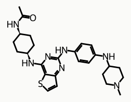 CC(=O)N[C@H]1CC[C@@H](Nc2nc(Nc3ccc(NC4CCN(C)CC4)cc3)nc3ccsc23)CC1